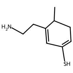 CC1CC=C(S)C=C1CCN